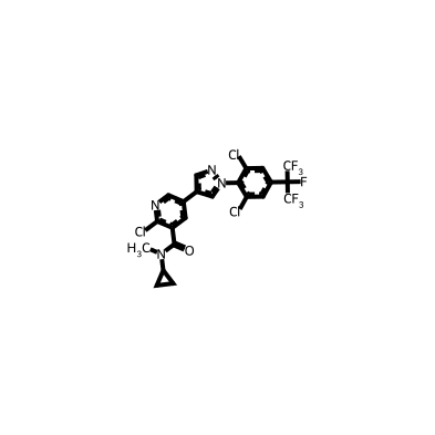 CN(C(=O)c1cc(-c2cnn(-c3c(Cl)cc(C(F)(C(F)(F)F)C(F)(F)F)cc3Cl)c2)cnc1Cl)C1CC1